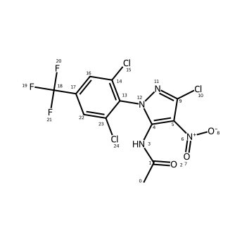 CC(=O)Nc1c([N+](=O)[O-])c(Cl)nn1-c1c(Cl)cc(C(F)(F)F)cc1Cl